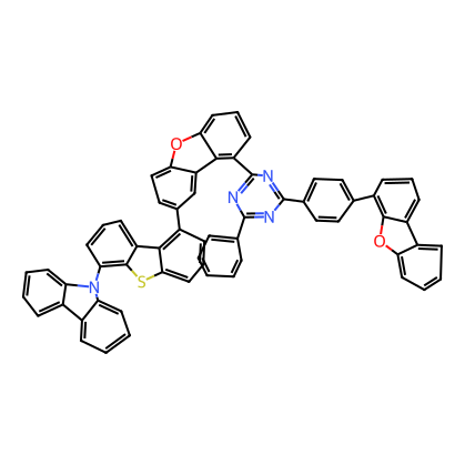 c1ccc(-c2nc(-c3ccc(-c4cccc5c4oc4ccccc45)cc3)nc(-c3cccc4oc5ccc(-c6cccc7sc8c(-n9c%10ccccc%10c%10ccccc%109)cccc8c67)cc5c34)n2)cc1